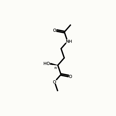 COC(=O)[C@@H](O)CCNC(C)=O